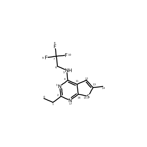 CCc1nc(NCC(F)(F)F)c2cc(C)sc2n1